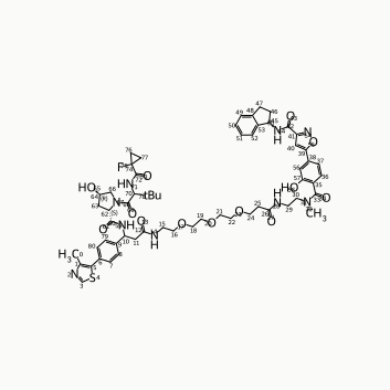 Cc1ncsc1-c1ccc(C(CC(=O)NCCOCCOCCOCCC(=O)NCCN(C)C(=O)c2ccc(-c3cc(C(=O)N[C@@H]4CCc5ccccc54)no3)cc2O)NC(=O)[C@@H]2C[C@@H](O)CN2C(=O)C(NC(=O)C2(F)CC2)C(C)(C)C)cc1